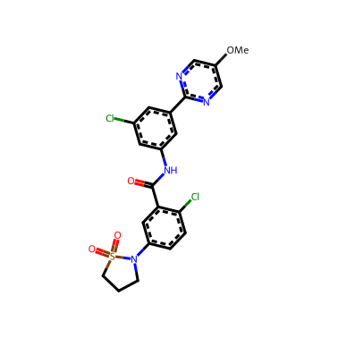 COc1cnc(-c2cc(Cl)cc(NC(=O)c3cc(N4CCCS4(=O)=O)ccc3Cl)c2)nc1